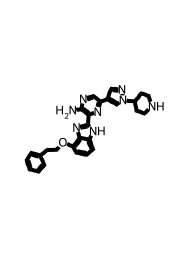 Nc1ncc(-c2cnn(C3CCNCC3)c2)nc1-c1nc2c(OCCc3ccccc3)cccc2[nH]1